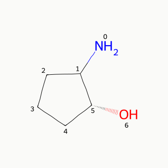 NC1CCC[C@H]1O